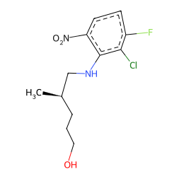 C[C@H](CCCO)CNc1c([N+](=O)[O-])ccc(F)c1Cl